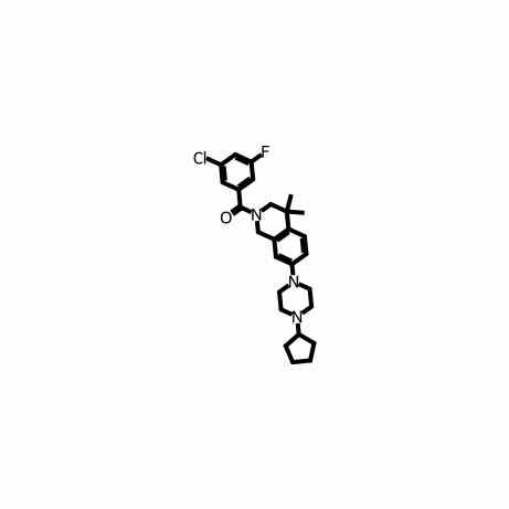 CC1(C)CN(C(=O)c2cc(F)cc(Cl)c2)Cc2cc(N3CCN(C4CCCC4)CC3)ccc21